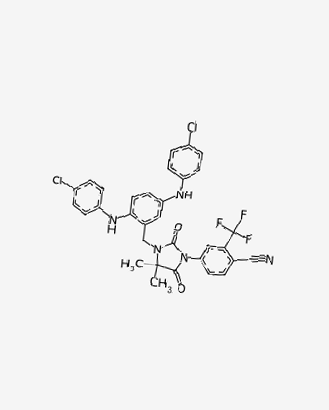 CC1(C)C(=O)N(c2ccc(C#N)c(C(F)(F)F)c2)C(=O)N1Cc1cc(Nc2ccc(Cl)cc2)ccc1Nc1ccc(Cl)cc1